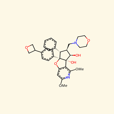 COc1cc2c(c(OC)n1)[C@]1(O)[C@H](O)[C@H](CN3CCOCC3)[C@@H](c3ccccc3)[C@]1(c1ccc(C3COC3)cc1)O2